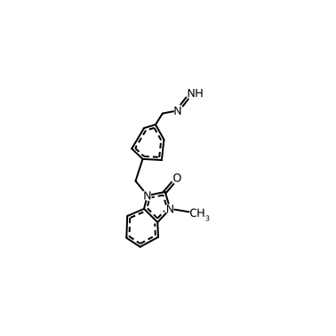 Cn1c(=O)n(Cc2ccc(CN=N)cc2)c2ccccc21